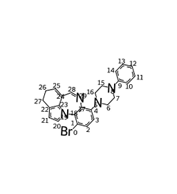 Brc1ccc(N2CCN(c3ccccc3)CC2)c2c1-n1ccc3c1C(=CCC3)C=N2